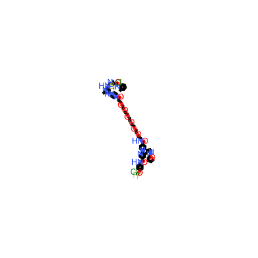 Cc1nc(Nc2ncc(C(=O)Nc3c(C)cccc3Cl)s2)cc(N2CCN(C(=O)CCOCCOCCOCCOCCOCCOCCNC(=O)C3CCN(c4ncc(C(=O)Nc5ccc(OC(F)(F)Cl)cc5)cc4-c4ccnn4C4CCCCO4)CC3)CC2)n1